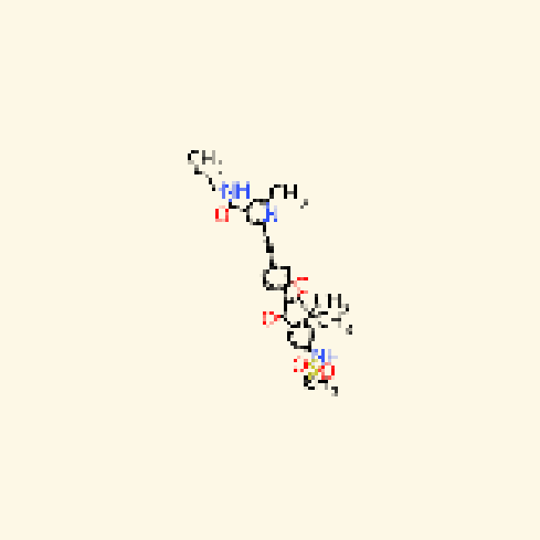 CCCCNC(=O)c1cc(C)nc(C#Cc2ccc3c4c(oc3c2)C(C)(C)c2cc(NS(C)(=O)=O)ccc2C4=O)c1